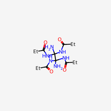 CCC(=O)NC(N)(NC(=O)CC)C(N)(NC(=O)CC)NC(=O)CC